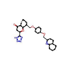 O=c1cc(-c2nnn[nH]2)oc2c(COc3ccc(OCc4ccc5ccccc5n4)cc3)cccc12